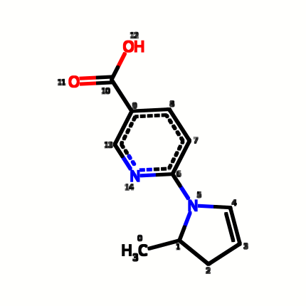 CC1CC=CN1c1ccc(C(=O)O)cn1